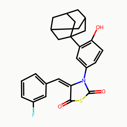 O=C1SC(=O)N(c2ccc(O)c(C34CC5CC(CC(C5)C3)C4)c2)C1=Cc1cccc(F)c1